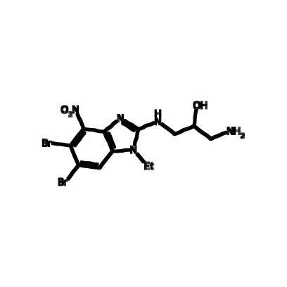 CCn1c(NCC(O)CN)nc2c([N+](=O)[O-])c(Br)c(Br)cc21